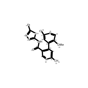 CCc1nnc(NC(=O)c2cnc(C)cc2-c2cc(Cl)ncc2OC)s1